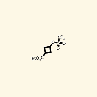 CCOC(=O)C1CC(OS(=O)(=O)C(F)(F)F)C1